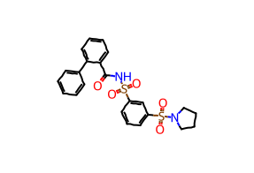 O=C(NS(=O)(=O)c1cccc(S(=O)(=O)N2CCCC2)c1)c1ccccc1-c1ccccc1